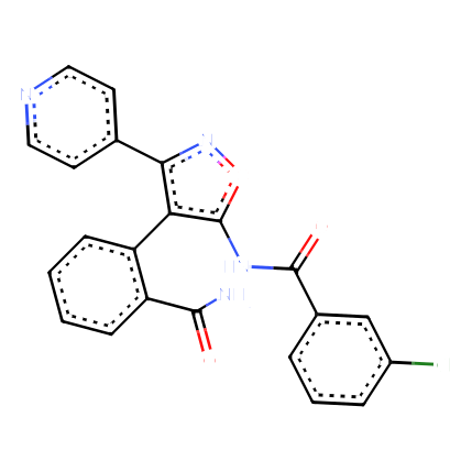 NC(=O)c1ccccc1-c1c(-c2ccncc2)noc1NC(=O)c1cccc(Cl)c1